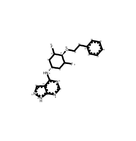 FC1C[C@H](Nc2ncnc3[nH]ncc23)CC(F)[C@H]1OCCc1ccccc1